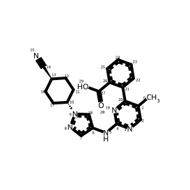 Cc1cnc(Nc2cnn([C@H]3CC[C@H](C#N)CC3)c2)nc1-c1ccccc1C(=O)O